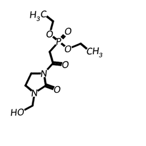 CCOP(=O)(CC(=O)N1CCN(CO)C1=O)OCC